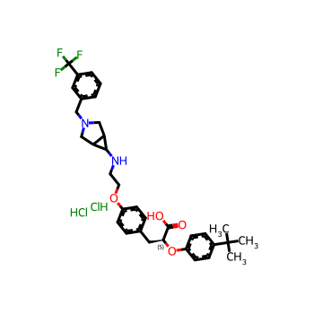 CC(C)(C)c1ccc(O[C@@H](Cc2ccc(OCCNC3C4CN(Cc5cccc(C(F)(F)F)c5)CC43)cc2)C(=O)O)cc1.Cl.Cl